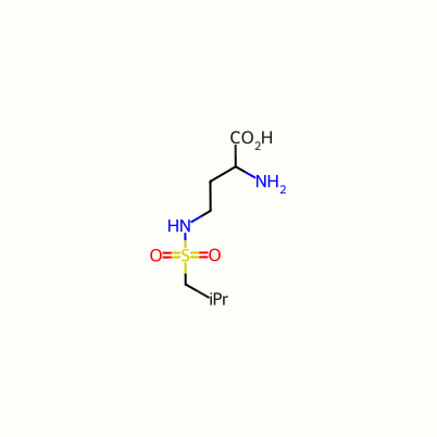 CC(C)CS(=O)(=O)NCCC(N)C(=O)O